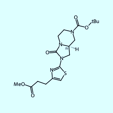 COC(=O)CCc1csc(N2C[C@@H]3CN(C(=O)OC(C)(C)C)CCN3C2=O)n1